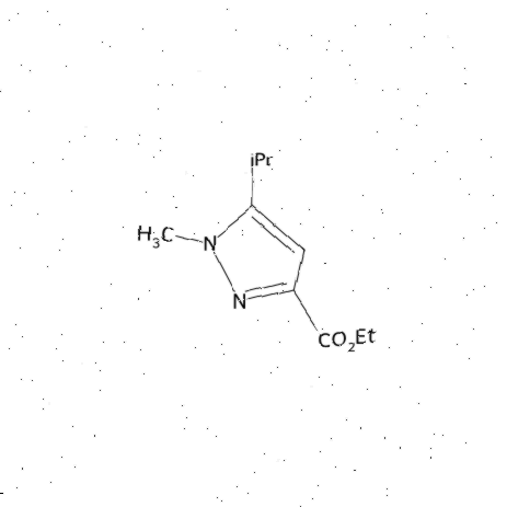 CCOC(=O)c1cc(C(C)C)n(C)n1